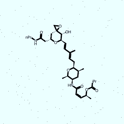 CCCNC(=O)C[C@@H]1C[C@@]2(CO2)[C@H](O)[C@@H](/C=C/C(C)=C/C[C@@H]2O[C@H](C)[C@H](NC(=O)/C=C\[C@H](C)OC(=O)C(C)C)C[C@@H]2C)O1